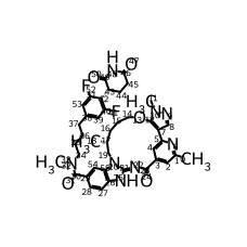 Cc1cc2cc(n1)-c1cnn(C)c1OCCC[C@@H](C)CN1/C(=N/C2=O)Nc2ccc(C(=O)N(C)CCCCc3cc(F)c([C@H]4CCC(=O)NC4=O)c(F)c3)cc21